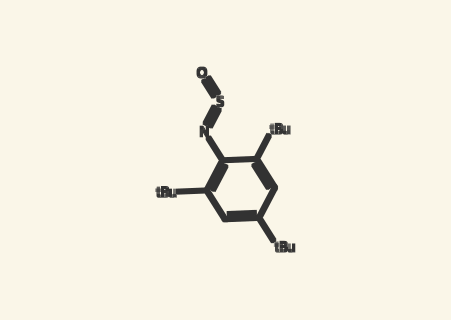 CC(C)(C)c1cc(C(C)(C)C)c(N=S=O)c(C(C)(C)C)c1